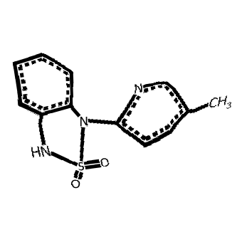 Cc1ccc(N2c3ccccc3NS2(=O)=O)nc1